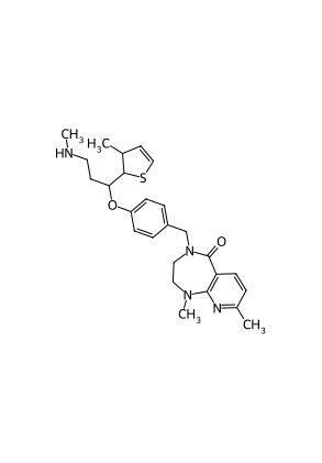 CNCCC(Oc1ccc(CN2CCN(C)c3nc(C)ccc3C2=O)cc1)C1SC=CC1C